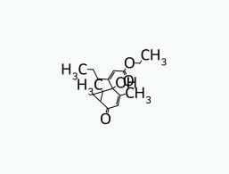 CCC/C(=C/C(=O)OCC)C1(O)C(C)=CC(=O)C2CC21C